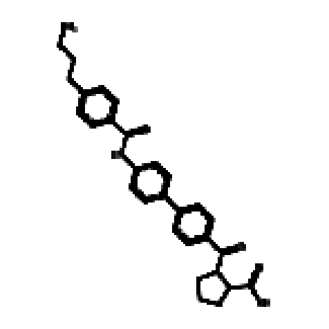 CCCCc1ccc(C(=O)Nc2ccc(-c3ccc(C(=O)C4CCCC4C(=O)O)cc3)cc2)cc1